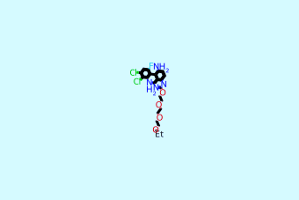 CCOCCOCCOCCOc1nc(N)c2c(-c3cc(Cl)c(Cl)cc3F)c(N)ccc2n1